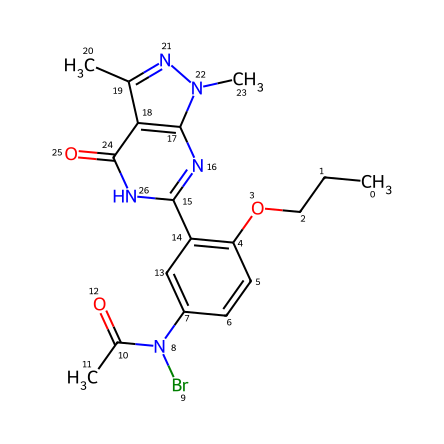 CCCOc1ccc(N(Br)C(C)=O)cc1-c1nc2c(c(C)nn2C)c(=O)[nH]1